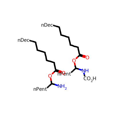 CCCCCCCCCCCCCCCC(=O)OC(CCCCC)NC(=O)O.CCCCCCCCCCCCCCCC(=O)OC(N)CCCCC